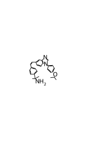 CC(C)Oc1ccc(-n2cnc3cc(/C=C\c4ccc(C(C)(C)N)cc4)ccc32)cc1